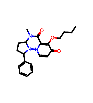 CCCCOc1c2n(ccc1=O)N1C(c3ccccc3)CCC1N(C)C2=O